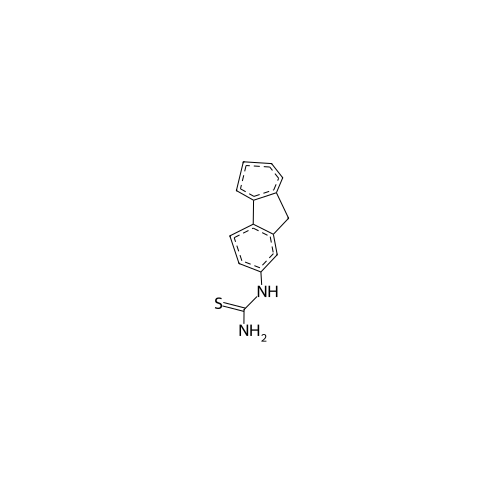 NC(=S)Nc1ccc2c(c1)Cc1ccccc1-2